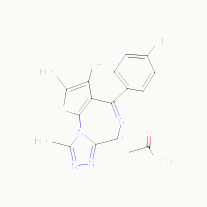 Cc1sc2c(c1C)C(c1ccc(Cl)cc1)=N[C@H](CC(=O)OCC(C)C)c1nnc(C)n1-2